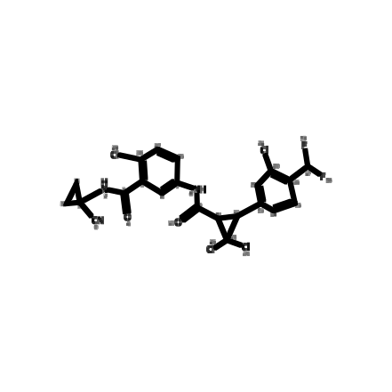 N#CC1(NC(=O)c2cc(NC(=O)C3C(c4ccc(C(F)F)c(Cl)c4)C3(Cl)Cl)ccc2Cl)CC1